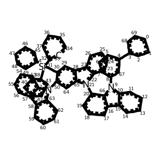 c1ccc(-c2cccc(-n3c4ccccc4c4cccc(-n5c6ccccc6c6cc([Si](c7ccccc7)(c7ccccc7)c7ccccc7)c(-n7c8ccccc8c8ccccc87)cc65)c43)c2)cc1